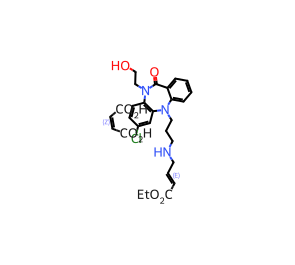 CCOC(=O)/C=C/CNCCCN1c2ccccc2C(=O)N(CCO)c2ccc(Cl)cc21.O=C(O)/C=C\C(=O)O